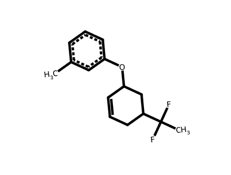 Cc1cccc(OC2C=CCC(C(C)(F)F)C2)c1